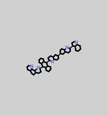 c1cnc2c(c1)ccc1ccc(-c3c4ccccc4c(-c4ccc5cc(-c6ccc7nc(-c8ccnc9ccccc89)ccc7c6)ccc5n4)c4ccccc34)nc12